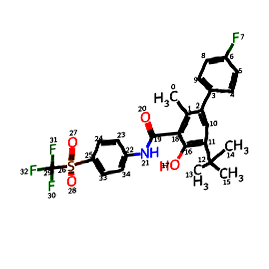 Cc1c(-c2ccc(F)cc2)cc(C(C)(C)C)c(O)c1C(=O)Nc1ccc(S(=O)(=O)C(F)(F)F)cc1